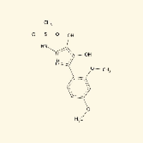 COc1ccc(-c2oc(NS(C)(=O)=O)c(O)c2O)c(OC)c1